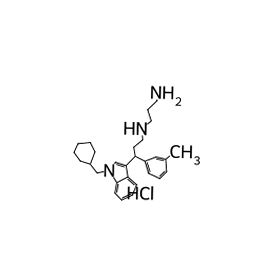 Cc1cccc(C(CCNCCCN)c2cn(CC3CCCCC3)c3ccccc23)c1.Cl